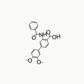 COc1ccc(-c2ccc(C(=O)O)c(NC(=O)c3ccccc3)c2)cc1OC